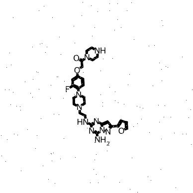 Nc1nc(NCCN2CCN(c3ccc(OCC(=O)N4CCNCC4)cc3F)CC2)nc2cc(-c3ccco3)nn12